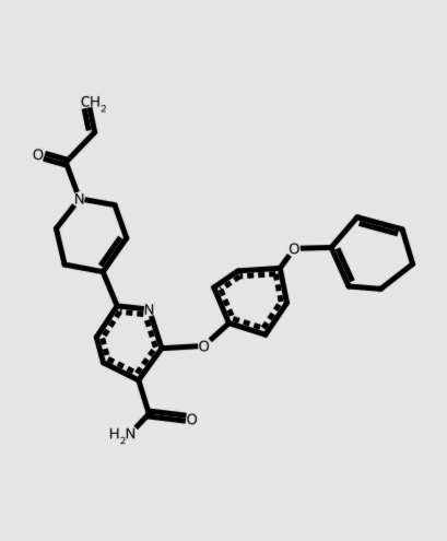 C=CC(=O)N1CC=C(c2ccc(C(N)=O)c(Oc3ccc(OC4=CCCC=C4)cc3)n2)CC1